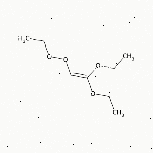 CCOOC=C(OCC)OCC